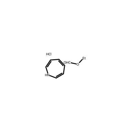 C1=CC=CNC=C1.CCOC=O.Cl